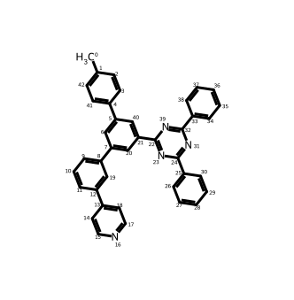 Cc1ccc(-c2cc(-c3cccc(-c4ccncc4)c3)cc(-c3nc(-c4ccccc4)nc(-c4ccccc4)n3)c2)cc1